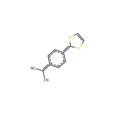 N#CC(C#N)=c1ccc(=C2SC=CS2)cc1